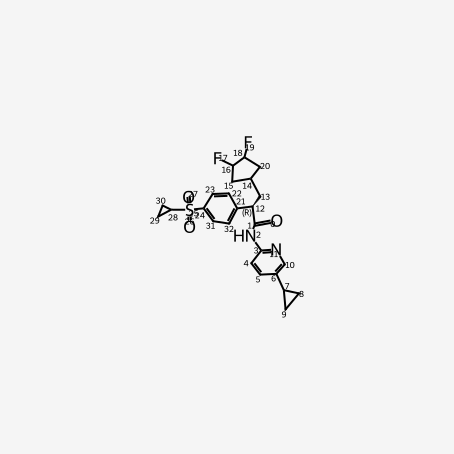 O=C(Nc1ccc(C2CC2)cn1)[C@H](CC1CC(F)C(F)C1)c1ccc(S(=O)(=O)C2CC2)cc1